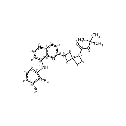 CC(C)(C)OC(=O)N1CCC12CN(c1ccc3ncnc(Nc4cccc(Br)c4F)c3n1)C2